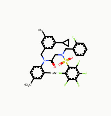 COc1cc(C(=O)O)ccc1N(Cc1cc(C2CC2)cc(C(C)(C)C)c1)C(=O)CN(Cc1ccccc1F)S(=O)(=O)c1c(F)c(F)c(F)c(F)c1F